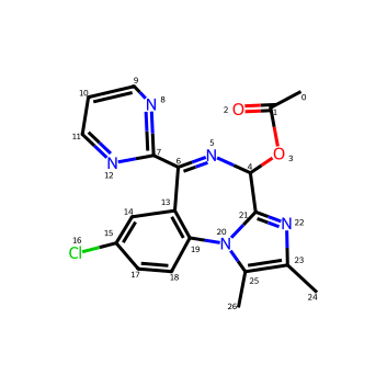 CC(=O)OC1N=C(c2ncccn2)c2cc(Cl)ccc2-n2c1nc(C)c2C